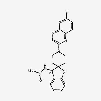 CC(C)(C)[S+]([O-])N[C@@H]1c2ccccc2OC12CCN(c1cnc3nc(Cl)ccc3n1)CC2